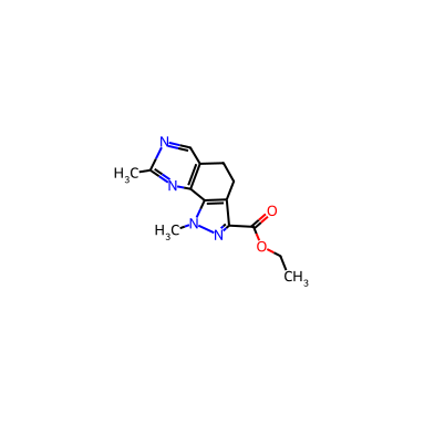 CCOC(=O)c1nn(C)c2c1CCc1cnc(C)nc1-2